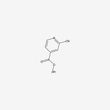 CCCOC(=O)c1ccnc(C#N)c1